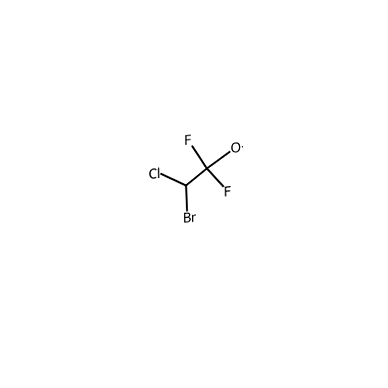 [O]C(F)(F)C(Cl)Br